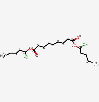 CCCCC(Cl)OC(=O)CCCCCCCC(=O)OC(Cl)CCCC